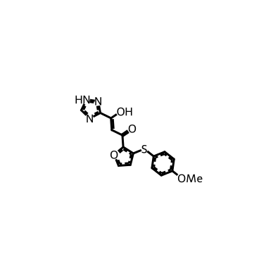 COc1ccc(Sc2ccoc2C(=O)C=C(O)c2nc[nH]n2)cc1